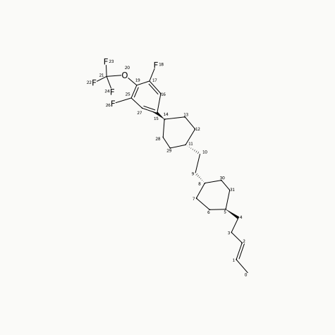 C/C=C/CC[C@H]1CC[C@H](CC[C@H]2CC[C@H](c3cc(F)c(OC(F)(F)F)c(F)c3)CC2)CC1